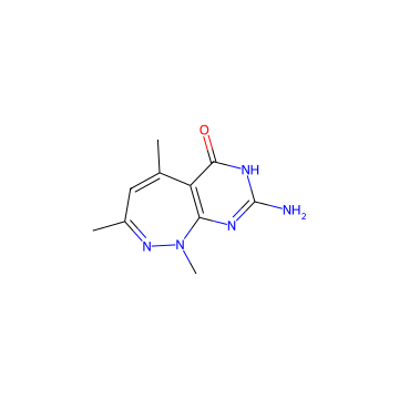 CC1=CC(C)=NN(C)c2nc(N)[nH]c(=O)c21